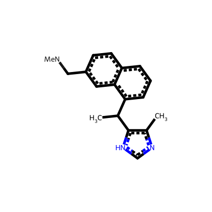 CNCc1ccc2cccc(C(C)c3[nH]cnc3C)c2c1